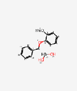 COc1ccccc1OCc1ccccc1.OBO